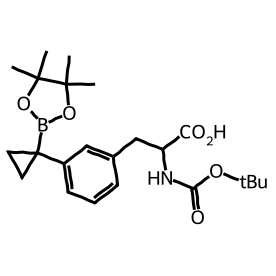 CC(C)(C)OC(=O)NC(Cc1cccc(C2(B3OC(C)(C)C(C)(C)O3)CC2)c1)C(=O)O